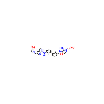 Cc1c(Nc2nccc3cc(CN4CCC(O)C4)cnc23)cccc1-c1cccc(-c2nc3c(=N)n(CCO)ccc3o2)c1C